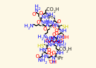 CC(C)C[C@H](NC(=O)[C@H](CCCCN)NC(=O)[C@H](CCCCN)NC(=O)[C@H](CCC(N)=O)NC(=O)[C@@H](N)CC(=O)O)C(=O)N[C@@H](CS)C(=O)N[C@@H](CO)C(=O)N[C@@H](CC(N)=O)C(=O)N[C@@H](CCN)C(=O)N[C@@H](CS)C(=O)N[C@@H](CCC(N)=O)C(=O)N[C@@H](CO)C(=O)N[C@H](C(=O)N[C@@H](CCCNC(=N)N)C(=O)O)C(C)C